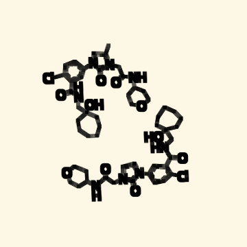 Cc1cn(-c2ccc(Cl)c(C(=O)NCC3(O)CCCCCC3)c2)c(=O)n1CC(=O)NC1CCOCC1.O=C(Cn1ccn(-c2ccc(Cl)c(C(=O)NCC3(O)CCCCCC3)c2)c1=O)NC1CCOCC1